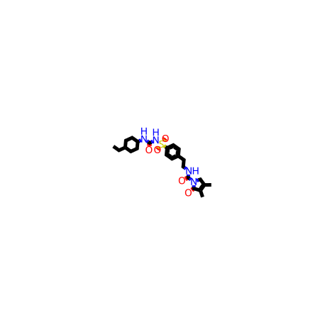 CCC1CCC(NC(=O)NS(=O)(=O)c2ccc(CCNC(=O)N3CC(C)=C(C)C3=O)cc2)CC1